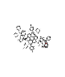 Cc1ccc(Oc2cc3c4c(cc(Oc5ccc(C)cc5C)c5c6c(Oc7ccc(C)cc7C)cc7c8c(cc(Oc9ccc(C)cc9C)c(c2c45)c86)C(=O)N(C(Cc2ncc[nH]2)C(=O)N(c2ccccc2)c2ccccc2)C7=O)C(=O)N(C(Cc2ncc[nH]2)C(=O)N(c2ccccc2)c2ccccc2)C3=O)c(C)c1